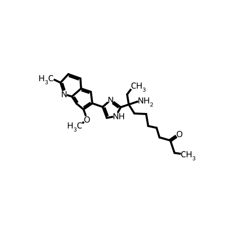 CCC(=O)CCCCCC(N)(CC)c1nc(-c2cc3ccc(C)nc3cc2OC)c[nH]1